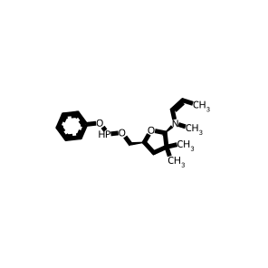 C/C=C\N(C)[C@@H]1O[C@H](COPOc2ccccc2)CC1(C)C